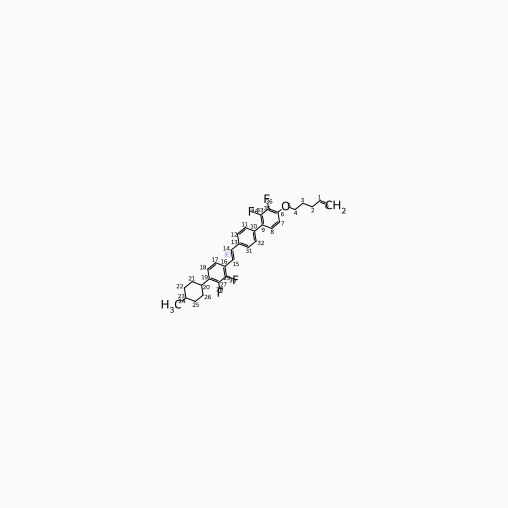 C=CCCCOc1ccc(-c2ccc(/C=C/c3ccc(C4CCC(C)CC4)c(F)c3F)cc2)c(F)c1F